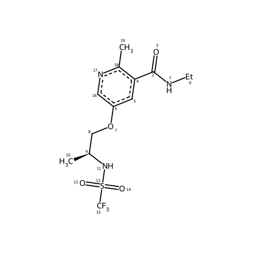 CCNC(=O)c1cc(OC[C@H](C)NS(=O)(=O)C(F)(F)F)cnc1C